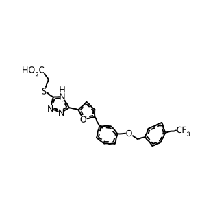 O=C(O)CSc1nnc(-c2ccc(-c3cccc(OCc4ccc(C(F)(F)F)cc4)c3)o2)[nH]1